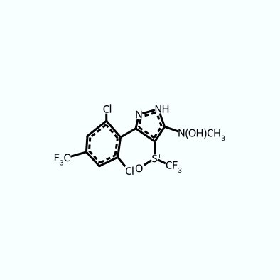 CN(O)c1[nH]nc(-c2c(Cl)cc(C(F)(F)F)cc2Cl)c1[S+]([O-])C(F)(F)F